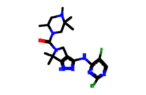 CC1CN(C)C(C)(C)CN1C(=O)N1Cc2c(Nc3nc(Cl)ncc3F)n[nH]c2C1(C)C